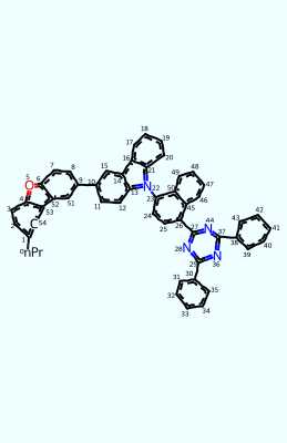 CCCc1ccc2oc3ccc(-c4ccc5c(c4)c4ccccc4n5-c4ccc(-c5nc(-c6ccccc6)nc(-c6ccccc6)n5)c5ccccc45)cc3c2c1